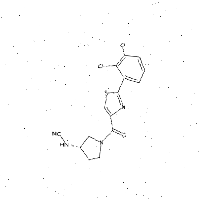 N#CN[C@H]1CCN(C(=O)c2csc(-c3cccc(Cl)c3Cl)n2)C1